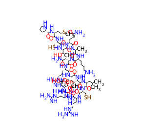 CC[C@H](C)[C@H](NC(=O)[C@H](CCCNC(=N)N)NC(=O)[C@H](CC(N)=O)NC(=O)[C@H](CCCCN)NC(=O)[C@H](C)NC(=O)[C@H](CCC(N)=O)NC(=O)[C@@H](NC(=O)[C@H](CS)NC(=O)[C@H](CCSC)NC(=O)[C@@H]1CCCN1)[C@@H](C)O)C(=O)N[C@@H](CCCNC(=N)N)C(=O)N[C@@H](CC(C)C)C(=O)N[C@@H](CS)C(=O)N[C@@H](CCCNC(=N)N)C(=O)N[C@@H](CCCNC(=N)N)C(=O)N[C@@H](CC(=O)O)C(=O)O